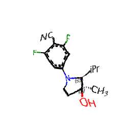 CC(C)[C@@H]1N(c2cc(F)c(C#N)c(F)c2)CC[C@]1(C)O